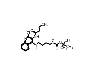 CCCC(=O)Nc1c(Cl)nc2ccccc2c1NCCCCNC(=O)OC(C)(C)C